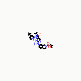 CC(C)n1c(=O)c2cnc(Nc3ccc4c(c3)CN(C(=O)OC(C)(C)C)CC4)nc2n1-c1cc(C(C)(C)C)ccn1